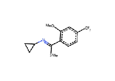 COc1cc(C(F)(F)F)ccc1C(=NC1CC1)SC